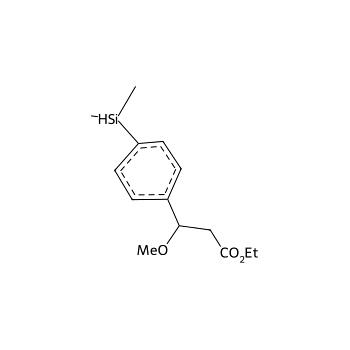 CCOC(=O)CC(OC)c1ccc([SiH](C)C)cc1